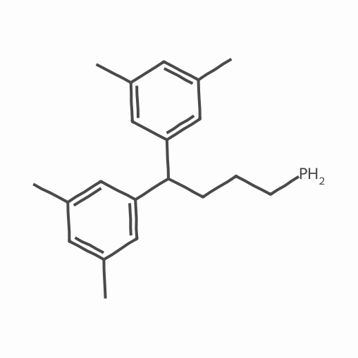 Cc1cc(C)cc(C(CCCP)c2cc(C)cc(C)c2)c1